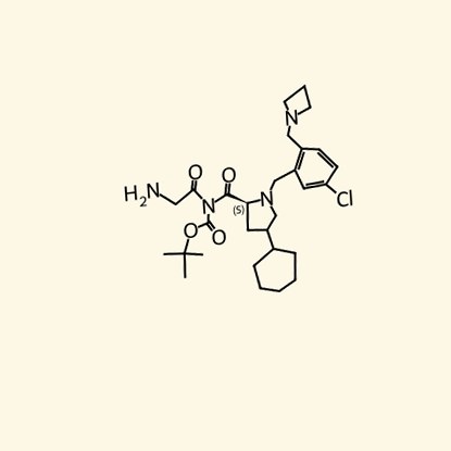 CC(C)(C)OC(=O)N(C(=O)CN)C(=O)[C@@H]1CC(C2CCCCC2)CN1Cc1cc(Cl)ccc1CN1CCC1